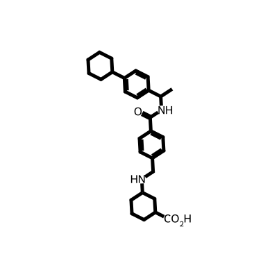 CC(NC(=O)c1ccc(CNC2CCCC(C(=O)O)C2)cc1)c1ccc(C2CCCCC2)cc1